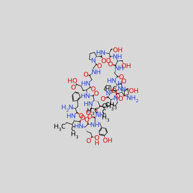 CC[C@H](C)[C@H](NC(=O)[C@@H](N)Cc1ccccc1)C(=O)N[C@@H](CCC(=O)O)C(=O)N[C@@H](Cc1ccc(O)cc1)C(=O)N[C@@H](CC(C)C)C(=O)N[C@@H](CC(C)C)C(=O)N[C@@H](CCC(=O)O)C(=O)NCC(=O)NCC(=O)N1CCC[C@H]1C(=O)N[C@@H](CO)C(=O)N[C@@H](CO)C(=O)NCC(=O)N[C@@H](C)C(=O)N1CCC[C@H]1C(=O)N1CCC[C@H]1C(=O)N1CCC[C@H]1C(=O)N[C@@H](CO)C(N)=O